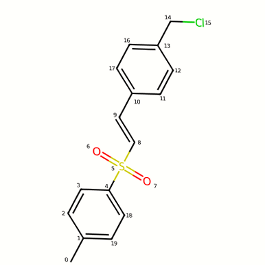 Cc1ccc(S(=O)(=O)/C=C/c2ccc(CCl)cc2)cc1